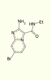 CCNC(=O)c1c(N)nc2cc(Br)ccn12